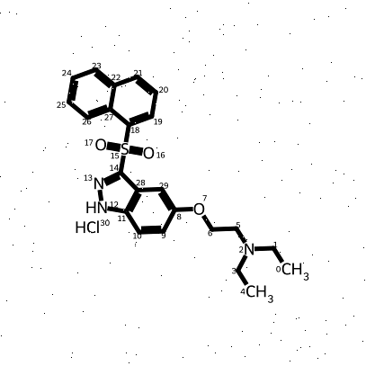 CCN(CC)CCOc1ccc2[nH]nc(S(=O)(=O)c3cccc4ccccc34)c2c1.Cl